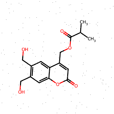 CC(C)C(=O)OCc1cc(=O)oc2cc(CO)c(CO)cc12